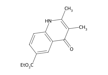 CCOC(=O)c1ccc2[nH]c(C)c(C)c(=O)c2c1